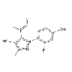 CC=C(C)c1c(C#N)c(C)nn1-c1ccc(O)cc1F